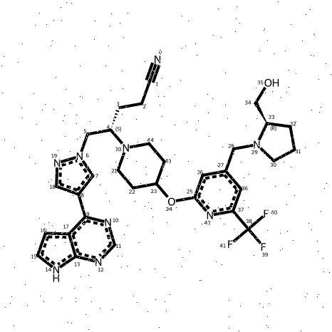 N#CCC[C@@H](Cn1cc(-c2ncnc3[nH]ccc23)cn1)N1CCC(Oc2cc(CN3CCC[C@@H]3CO)cc(C(F)(F)F)n2)CC1